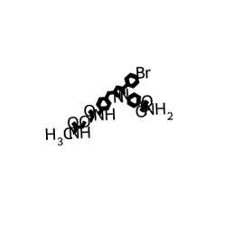 CNC(=O)COCC(=O)Nc1ccc(Cc2cc(-c3ccc(Br)cc3)n(-c3ccc(S(N)(=O)=O)cc3)n2)cc1